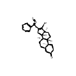 CC(=O)C1=C(C(=S=O)c2ccccc2)C[C@H]2[C@@H]3CCC4=CC(=O)CC[C@]4(C)[C@H]3CC[C@]12C